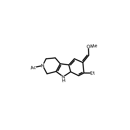 CCC1=CC2NC3=C(CCN(C(C)=O)C3)C2=CC1=COC